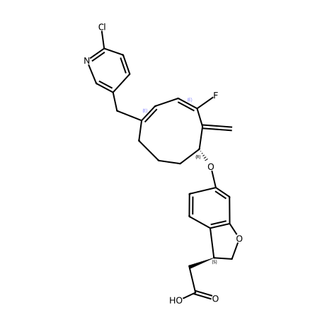 C=C1/C(F)=C\C=C(\Cc2ccc(Cl)nc2)CCC[C@H]1Oc1ccc2c(c1)OC[C@H]2CC(=O)O